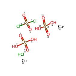 Cl.O=S(=O)(Cl)Cl.O=S(=O)(O)O.O=S(=O)(O)O.[Cu].[Cu]